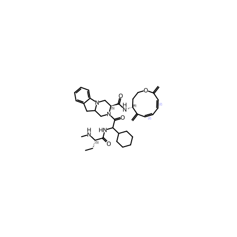 C=C1/C=C\C=C/C(=C)[C@H](NC(=O)[C@@H]2CN3c4ccccc4CC3CN2C(=O)C(NC(=O)[C@H](CC)NC)C2CCCCC2)CCO1